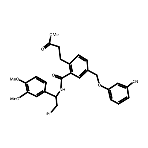 COC(=O)CCc1ccc(COc2cccc(C#N)c2)cc1C(=O)NC(CC(C)C)c1ccc(OC)c(OC)c1